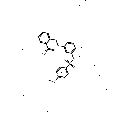 COc1ccc(S(=O)(=O)Nc2cccc(CCc3ccccc3C(=O)O)c2)cc1